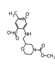 COC(=O)N1CCOC(CNc2c[n+]([O-])c(C)cc2[N+](=O)[O-])C1